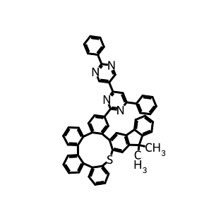 CC1(C)c2ccccc2-c2cc3c(cc21)Sc1ccccc1-c1ccccc1-c1ccccc1-c1ccc(-c2nc(-c4ccccc4)cc(-c4cnc(-c5ccccc5)nc4)n2)cc1-3